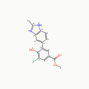 COC(=O)c1cc(F)c(O)c(-c2ccc3[nH]c(C)nc3c2)c1